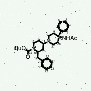 CC(=O)NC1(c2ccccc2)CCN(C2CCN(C(=O)OCC(C)C)C(Cc3ccccc3)C2)CC1